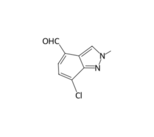 Cn1cc2c(C=O)ccc(Cl)c2n1